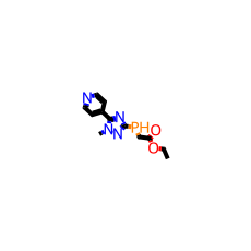 CCOC(=O)CPc1nc(-c2ccncc2)n(C)n1